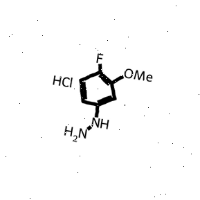 COc1cc(NN)ccc1F.Cl